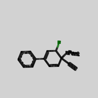 C#CC1(CCCCC)C=CC(c2ccccc2)=CC1F